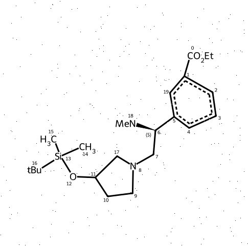 CCOC(=O)c1cccc([C@@H](CN2CCC(O[Si](C)(C)C(C)(C)C)C2)NC)c1